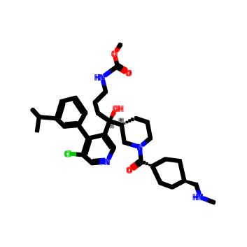 CNC[C@H]1CC[C@H](C(=O)N2CCC[C@@H]([C@@](O)(CCCNC(=O)OC)c3cncc(Cl)c3-c3cccc(C(C)C)c3)C2)CC1